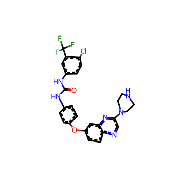 O=C(Nc1ccc(Oc2ccc3ncc(N4CCNCC4)nc3c2)cc1)Nc1ccc(Cl)c(C(F)(F)F)c1